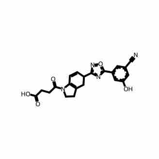 N#Cc1cc(O)cc(-c2nc(C3C=CC4=C(CCN4C(=O)CCC(=O)O)C3)no2)c1